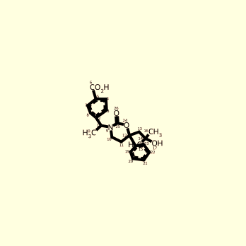 CC(c1ccc(C(=O)O)cc1)N1CCC(CC(C)(C)O)(c2ccccc2)OC1=O